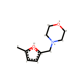 Cc1ccc(CN2CCOCC2)o1